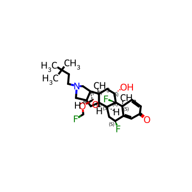 CC(C)(C)CCN1C[C@@H]2C[C@H]3[C@@H]4C[C@H](F)C5=CC(=O)C=C[C@]5(C)[C@@]4(F)[C@@H](O)C[C@]3(C)[C@]2(C(=O)OCF)C1